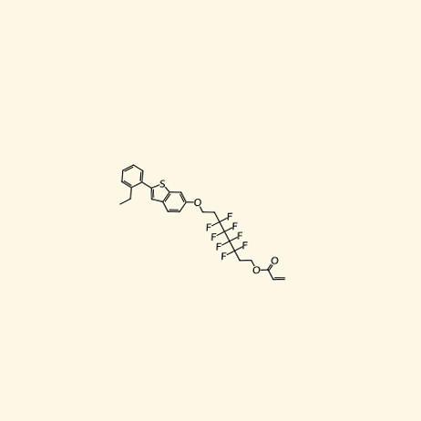 C=CC(=O)OCCC(F)(F)C(F)(F)C(F)(F)C(F)(F)CCOc1ccc2cc(-c3ccccc3CC)sc2c1